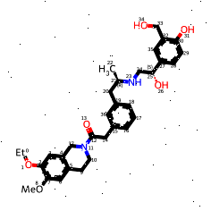 CCOc1cc2c(cc1OC)CCN(C(=O)Cc1cccc(C[C@@H](C)NC[C@@H](O)c3ccc(O)c(CO)c3)c1)C2